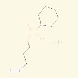 NCCCOS(=O)(=O)C1CCCCC1.[NaH]